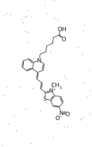 C[n+]1c(C=CC=C2C=CN(CCCCCC(=O)O)c3ccccc32)sc2cc([N+](=O)[O-])ccc21